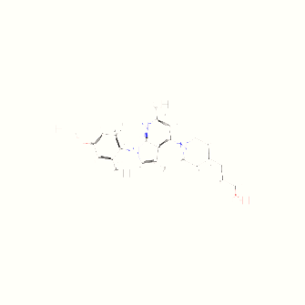 COc1cc(C)c(-n2cc(C)c3c(N4CCC(CCCO)CC4)cc(C)nc32)c(C)c1